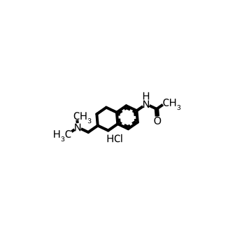 CC(=O)Nc1ccc2c(c1)CCC(CN(C)C)C2.Cl